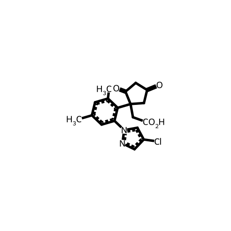 Cc1cc(C)c(C2(CC(=O)O)CC(=O)CC2=O)c(-n2cc(Cl)cn2)c1